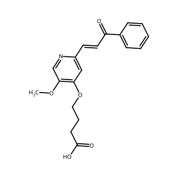 COc1cnc(C=CC(=O)c2ccccc2)cc1OCCCC(=O)O